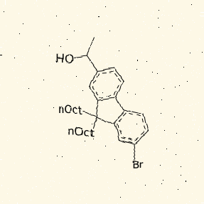 CCCCCCCCC1(CCCCCCCC)c2cc(Br)ccc2-c2ccc(C(C)O)cc21